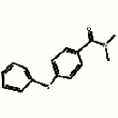 CN(C)C(=O)c1ccc(Sc2ccccc2)cc1